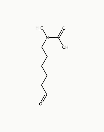 CN(CCCCCC=O)C(=O)O